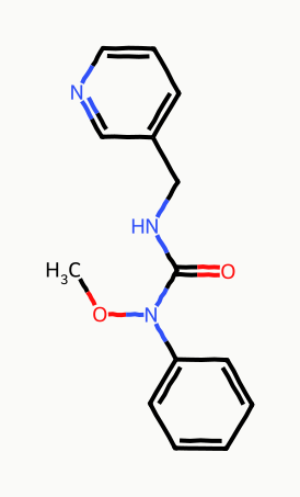 CON(C(=O)NCc1cccnc1)c1ccccc1